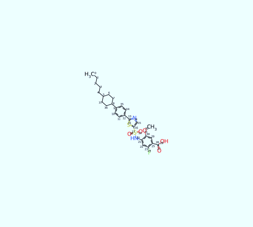 CCCCCC1CCC(c2ccc(-c3ncc(S(=O)(=O)Nc4cc(F)c(C(=O)O)cc4OC)s3)cc2)CC1